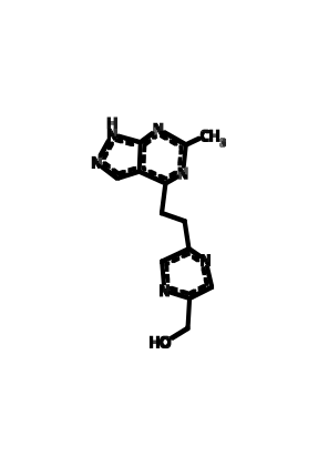 Cc1nc(CCc2cnc(CO)cn2)c2cn[nH]c2n1